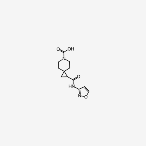 O=C(Nc1ccon1)C1CC12CCN(C(=O)O)CC2